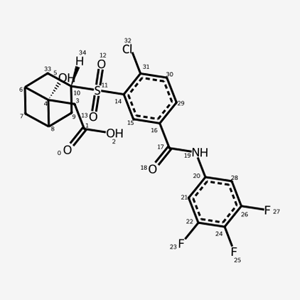 O=C(O)C[C@]1(O)C2CC1C[C@@H](S(=O)(=O)c1cc(C(=O)Nc3cc(F)c(F)c(F)c3)ccc1Cl)C2